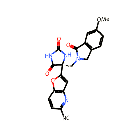 [C-]#[N+]c1ccc2oc([C@]3(CN4Cc5ccc(OC)cc5C4=O)NC(=O)NC3=O)cc2n1